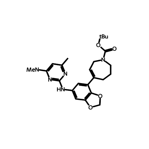 CNc1cc(C)nc(Nc2cc3c(c(C4=CCN(C(=O)OC(C)(C)C)CCC4)c2)OCO3)n1